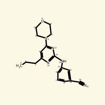 CCCc1cc(N2CCOCC2)nc(Nc2cccc(C#N)c2)n1